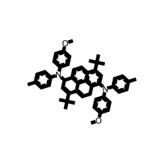 COc1ccc(N(c2ccc(C)cc2)c2cc(C(C)(C)C)c3ccc4c5c3c2CC=C5C(C(C)(C)C)=CC4N(c2ccc(C)cc2)c2ccc(OC)cc2)cc1